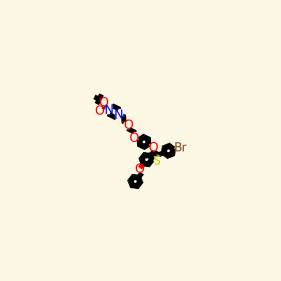 CC(C)(C)OC(=O)N1CCN(CCOCCOc2ccc(Oc3c(-c4ccc(Br)cc4)sc4cc(OCc5ccccc5)ccc34)cc2)CC1